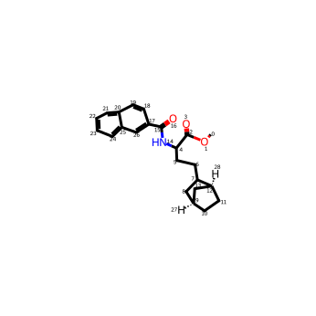 COC(=O)C(CCC1C[C@@H]2CC[C@H]1C2)NC(=O)c1ccc2ccccc2c1